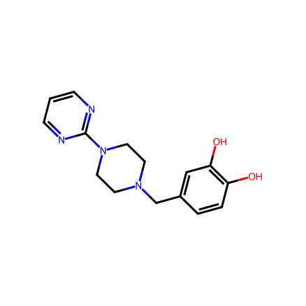 Oc1ccc(CN2CCN(c3ncccn3)CC2)cc1O